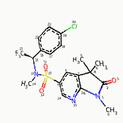 CN1C(=O)C(C)(C)c2cc(S(=O)(=O)N(C)[C@H](c3ccc(Cl)cc3)C(F)(F)F)cnc21